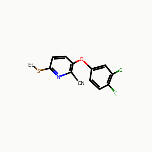 CCSc1ccc(Oc2ccc(Cl)c(Cl)c2)c(C#N)n1